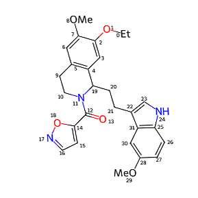 CCOc1cc2c(cc1OC)CCN(C(=O)c1ccno1)C2CCc1c[nH]c2ccc(OC)cc12